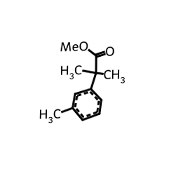 COC(=O)C(C)(C)c1cccc(C)c1